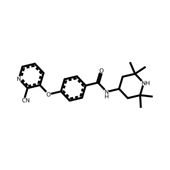 CC1(C)CC(NC(=O)c2ccc(Oc3cccnc3C#N)cc2)CC(C)(C)N1